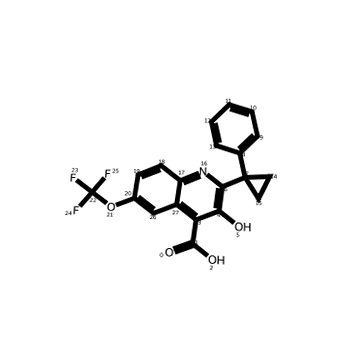 O=C(O)c1c(O)c(C2(c3ccccc3)CC2)nc2ccc(OC(F)(F)F)cc12